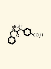 CCCCN(Cc1ccccc1)C(=O)Nc1ccc(C(=O)O)cc1